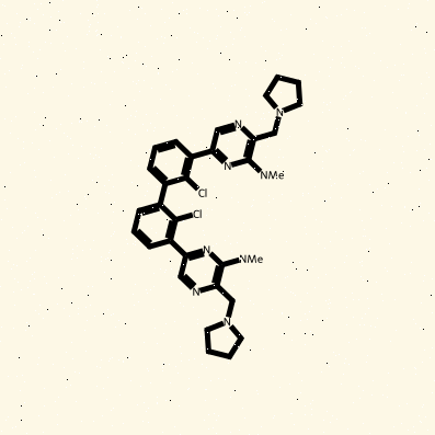 CNc1nc(-c2cccc(-c3cccc(-c4cnc(CN5CCCC5)c(NC)n4)c3Cl)c2Cl)cnc1CN1CCCC1